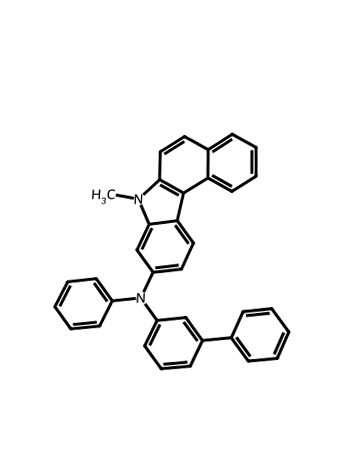 Cn1c2cc(N(c3ccccc3)c3cccc(-c4ccccc4)c3)ccc2c2c3ccccc3ccc21